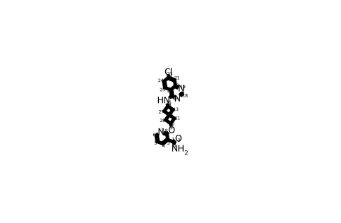 NC(=O)c1cccnc1OC1CC2(CC(Nc3ncnc4cc(Cl)ccc34)C2)C1